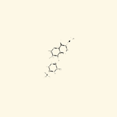 N#Cc1c[nH]c2c(Cc3ccc(C(F)(F)F)cc3F)c(F)c(F)cc2c1=O